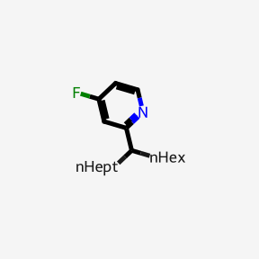 CCCCCCCC(CCCCCC)c1cc(F)ccn1